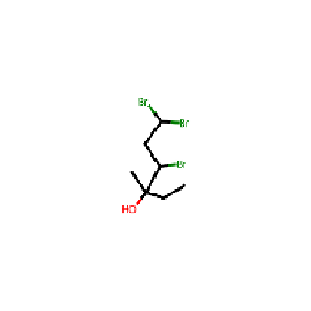 CCC(C)(O)C(Br)CC(Br)Br